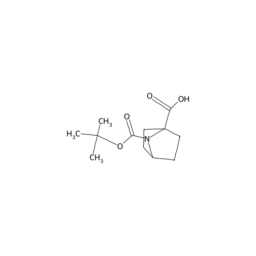 CC(C)(C)OC(=O)N1C2CCC1(C(=O)O)CC2